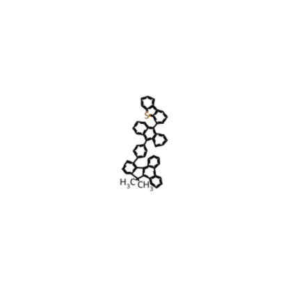 CC1(C)c2cccc(-c3ccc(-c4c5ccccc5c(-c5cccc6c5sc5ccccc56)c5ccccc45)cc3)c2-c2c1c1ccccc1c1ccccc21